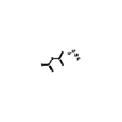 S=P(=S)SP(=S)=S.[Li+].[Li+].[LiH].[S-2]